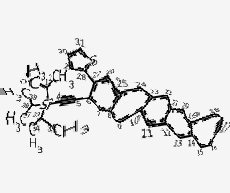 CC(C)[Si](C#Cc1cc2cc3cc4cc5ccccc5cc4cc3cc2cc1-c1cccs1)(C(C)C)C(C)C